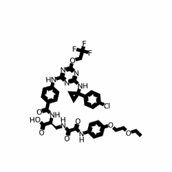 CCOCCOc1ccc(NC(=O)C(=O)NC[C@H](NC(=O)c2ccc(Nc3nc(NC4(c5ccc(Cl)cc5)CC4)nc(OCC(F)(F)F)n3)cc2)C(=O)O)cc1